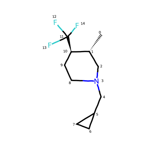 C[C@@H]1CN(CC2CC2)CC[C@H]1C(F)(F)F